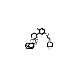 Cc1ccc(OCCN2CCOCC2)cc1C1CCC[C@]2(C1)OOC1(O2)C2CC3CC(C2)CC1C3